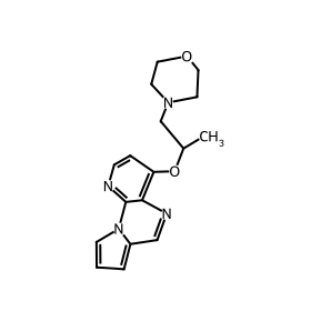 CC(CN1CCOCC1)Oc1ccnc2c1ncc1cccn12